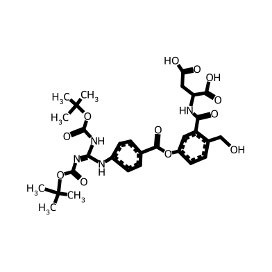 CC(C)(C)OC(=O)/N=C(/NC(=O)OC(C)(C)C)Nc1ccc(C(=O)Oc2ccc(CO)c(C(=O)NC(CC(=O)O)C(=O)O)c2)cc1